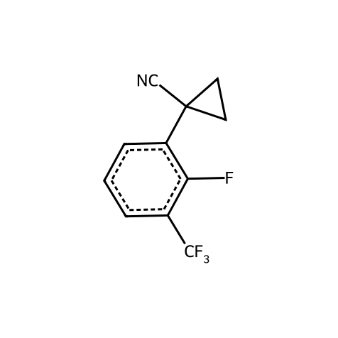 N#CC1(c2cccc(C(F)(F)F)c2F)CC1